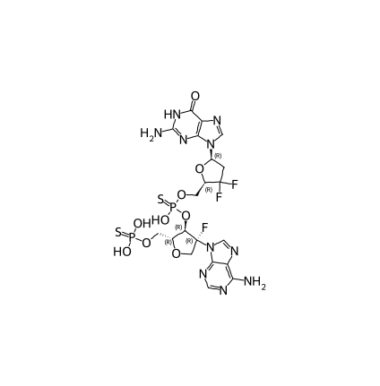 Nc1nc2c(ncn2[C@H]2CC(F)(F)[C@@H](COP(O)(=S)O[C@@H]3[C@@H](COP(O)(O)=S)OC[C@]3(F)n3cnc4c(N)ncnc43)O2)c(=O)[nH]1